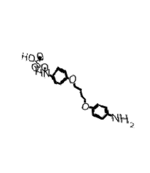 Nc1ccc(OCCCCOc2ccc(NOS(=O)(=O)O)cc2)cc1